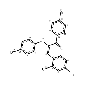 O=C(/C(=C\c1ccc(F)cc1Cl)Sc1ccc(Br)cc1)c1ccc(Br)cc1